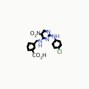 O=C(O)c1cccc(CNc2nc(Nc3ccc(Cl)cc3)ncc2[N+](=O)[O-])c1